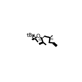 C#CC[C@H](C)C[C@H](O[Si](C)(C)C(C)(C)C)C(=C)C